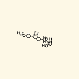 COc1ccc(CCc2ccc(-c3noc([C@H]4NCC[C@@H]4O)n3)cc2C(F)(F)F)cc1